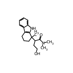 CN(C)C(=O)C(CCO)C1(C)CCCc2c1[nH]c1ccccc21